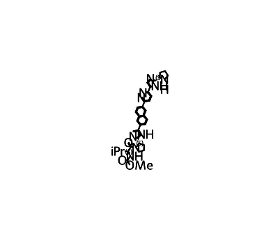 COC(=O)N[C@H](C(=O)N1CCC[C@H]1c1ncc(-c2ccc3cc(-c4ccc(-c5cnc([C@@H]6CCCN6)[nH]5)nn4)ccc3c2)[nH]1)C(C)C